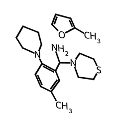 Cc1ccc(N2CCCCC2)c(C(N)N2CCSCC2)c1.Cc1ccco1